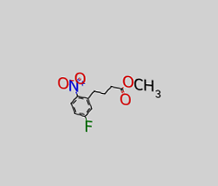 COC(=O)CCCc1cc(F)ccc1[N+](=O)[O-]